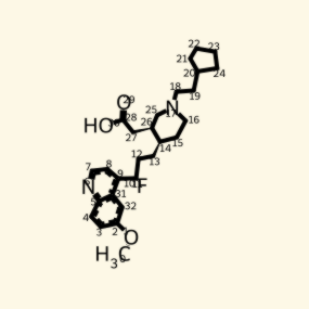 COc1ccc2nccc([C@@H](F)CC[C@@H]3CCN(CCC4CCCC4)C[C@@H]3CC(=O)O)c2c1